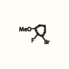 [CH2]Oc1cccc(Br)c1F